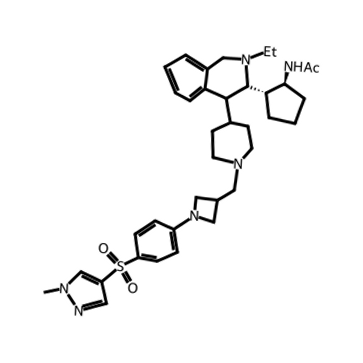 CCN1Cc2ccccc2C(C2CCN(CC3CN(c4ccc(S(=O)(=O)c5cnn(C)c5)cc4)C3)CC2)C1[C@H]1CCC[C@@H]1NC(C)=O